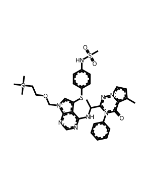 Cc1ccn2nc(C(C)Nc3ncnc4c3c(Sc3ccc(NS(C)(=O)=O)cc3)cn4COCC[Si](C)(C)C)n(-c3ccccc3)c(=O)c12